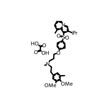 COc1cc(CCN(C)CCCOc2ccc(S(=O)(=O)c3c(C(C)C)cn4cccc(C)c34)cc2)cc(C)c1OC.O=C(O)C(=O)O